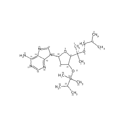 CC(C)[SiH2]OC(C)(C)C1OC(n2cnc3c(N)ncnc32)CC1O[Si](C)(C)C(C)C